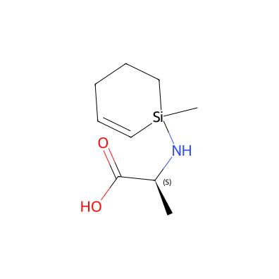 C[C@H](N[Si]1(C)C=CCCC1)C(=O)O